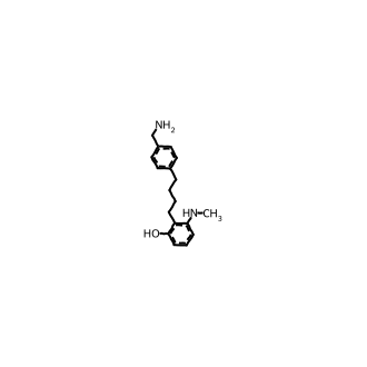 CNc1cccc(O)c1CCCCc1ccc(CN)cc1